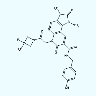 CC1C(=O)N(C)c2c1cnc1c2cc(C(=O)NCc2ccc(C#N)cc2)c(=O)n1CC(=O)N1CC(C)(F)C1